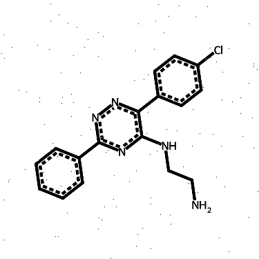 NCCNc1nc(-c2ccccc2)nnc1-c1ccc(Cl)cc1